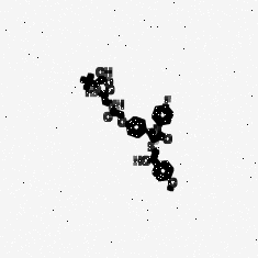 COc1ccc(C(O)CS[C@H]2C(=O)N(c3ccc(F)cc3)[C@@H]2c2ccc(OCC(=O)NCC(=O)N[C@@H](C(=O)O)C(C)(C)C)cc2)cc1